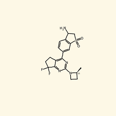 C[C@H]1CCN1c1nc(-c2ccc3c(c2)S(=O)(=O)CC3N)c2c(n1)C(F)(F)CC2